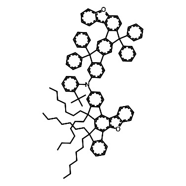 CCCCCCCC1(CCCCCCC)c2ccccc2-c2c1c1c(c3c2oc2ccccc23)-c2ccc(N(c3ccc4c(c3)C(c3ccccc3)(c3ccccc3)c3cc5c(cc3-4)C(c3ccccc3)(c3ccccc3)c3ccc4oc6ccccc6c4c3-5)c3ccccc3C(C)(C)C)cc2C1(CCCCCCC)CCCCCCC